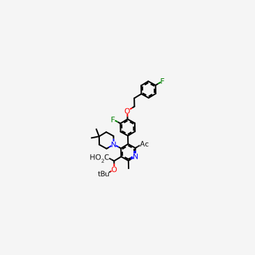 CC(=O)c1nc(C)c(C(OC(C)(C)C)C(=O)O)c(N2CCC(C)(C)CC2)c1-c1ccc(OCCc2ccc(F)cc2)c(F)c1